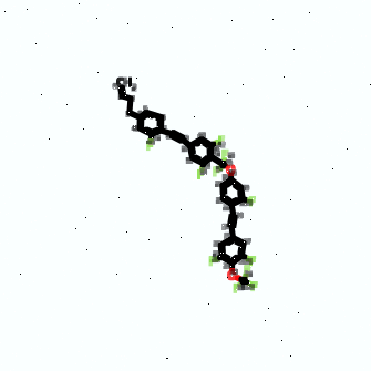 C=CCCc1ccc(C#Cc2cc(F)c(C(F)(F)Oc3ccc(C#Cc4cc(F)c(OC(F)(F)F)c(F)c4)c(F)c3)c(F)c2)c(F)c1